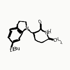 C=C1CCC(N2CCc3ccc(C(C)(C)C)cc32)C(=O)N1